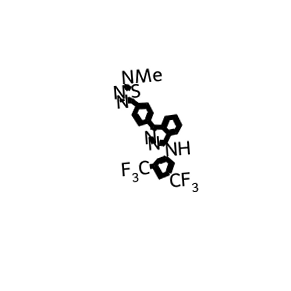 CNc1nnc(-c2ccc(-c3nnc(Nc4cc(C(F)(F)F)cc(C(F)(F)F)c4)c4ccccc34)cc2)s1